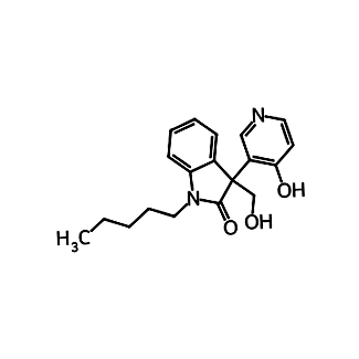 CCCCCN1C(=O)C(CO)(c2cnccc2O)c2ccccc21